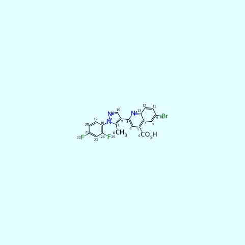 Cc1c(-c2cc(C(=O)O)c3cc(Br)ccc3n2)cnn1-c1ccc(F)cc1F